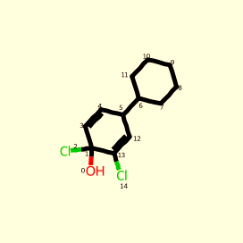 OC1(Cl)C=CC(C2CCCCC2)C=C1Cl